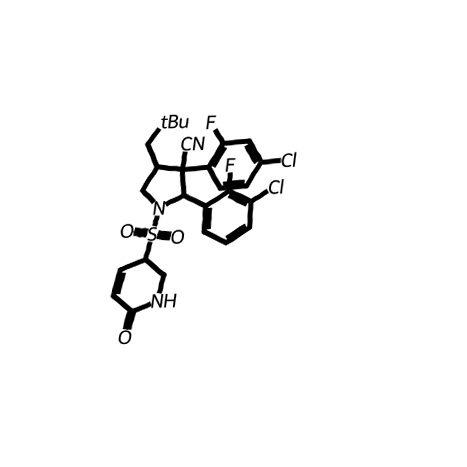 CC(C)(C)CC1CN(S(=O)(=O)C2C=CC(=O)NC2)C(c2cccc(Cl)c2F)C1(C#N)c1ccc(Cl)cc1F